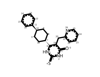 O=c1[nH]c(=S)[nH]c([C@H]2CC[C@H](c3ccccc3)CC2)c1Cc1ccccn1